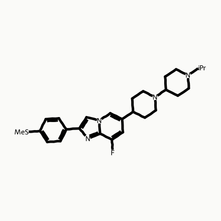 CSc1ccc(-c2cn3cc(C4CCN(C5CCN(C(C)C)CC5)CC4)cc(F)c3n2)cc1